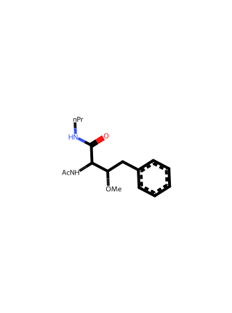 CCCNC(=O)C(NC(C)=O)C(Cc1ccccc1)OC